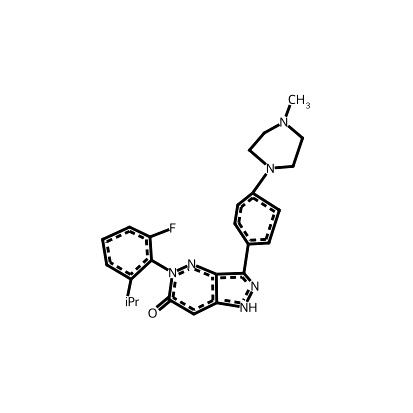 CC(C)c1cccc(F)c1-n1nc2c(-c3ccc(N4CCN(C)CC4)cc3)n[nH]c2cc1=O